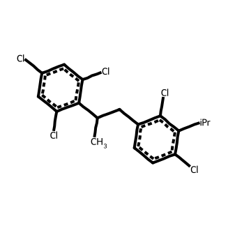 CC(C)c1c(Cl)ccc(CC(C)c2c(Cl)cc(Cl)cc2Cl)c1Cl